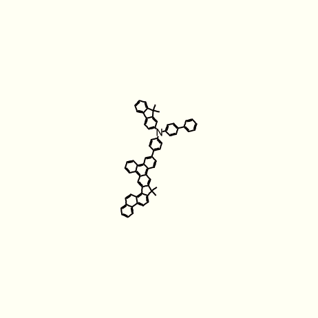 CC1(C)c2ccccc2-c2ccc(N(c3ccc(-c4ccccc4)cc3)c3ccc(-c4ccc5c(c4)c4ccccc4c4cc6c(cc54)C(C)(C)c4ccc5c(ccc7ccccc75)c4-6)cc3)cc21